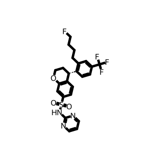 O=S(=O)(Nc1ncccn1)c1ccc2c(c1)OCC[C@@H]2c1ccc(C(F)(F)F)cc1CCCCF